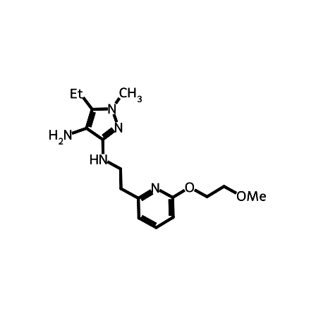 CCc1c(N)c(NCCc2cccc(OCCOC)n2)nn1C